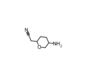 N#CCC1CCC(N)CO1